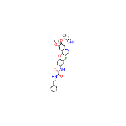 COc1cc2c(Oc3ccc(NC(=O)C(=O)NCCc4ccccc4)cc3F)ccnc2cc1OC(C)C1CNC1